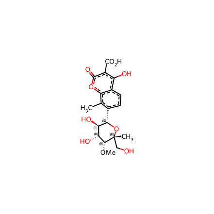 CO[C@@H]1[C@H](O)[C@@H](O)[C@H](c2ccc3c(O)c(C(=O)O)c(=O)oc3c2C)O[C@]1(C)CO